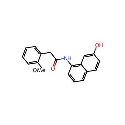 COc1ccccc1CC(=O)Nc1cccc2ccc(O)cc12